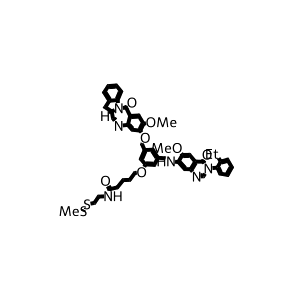 CCc1ccccc1-n1cnc2cc(NCc3cc(COc4cc5c(cc4OC)C(=O)N4c6ccccc6C[C@H]4C=N5)cc(OCCCCC(=O)NCCSSC)c3)c(OC)cc2c1=O